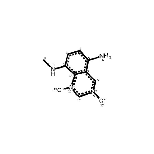 CNc1ccc(N)c2c[n+]([O-])c[n+]([O-])c12